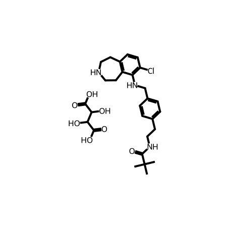 CC(C)(C)C(=O)NCCc1ccc(CNc2c(Cl)ccc3c2CCNCC3)cc1.O=C(O)C(O)C(O)C(=O)O